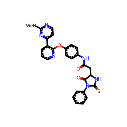 CNc1nccc(-c2cccnc2Oc2ccc(NC(=O)CC3NC(=S)N(c4ccccc4)C3=O)cc2)n1